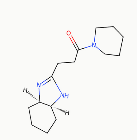 O=C(CCC1=N[C@@H]2CCCC[C@@H]2N1)N1CCCCC1